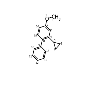 COc1[c]c(C2CC2)c(-c2ccccc2)cc1